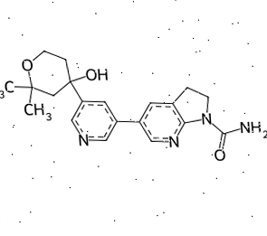 CC1(C)CC(O)(c2cncc(-c3cnc4c(c3)CCN4C(N)=O)c2)CCO1